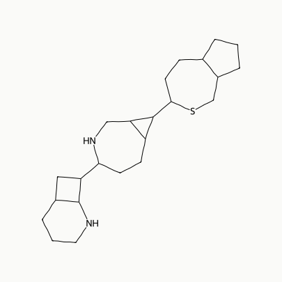 C1CC2CCC(C3C4CCC(C5CC6CCCNC65)NCC43)SCC2C1